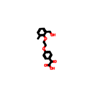 Cc1cccc(CO)c1OCCOc1ccc(C(=O)C(=O)O)cc1